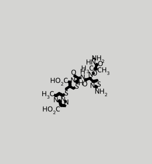 Cc1cc(SCC2=C(C(=O)O)N3C(=O)C(NC(=O)C(=NOC(C)(C)C(=O)NN)c4csc(N)n4)[C@@H]3SC2)n2ncc(C(=O)O)c2n1